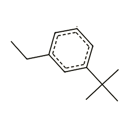 CCc1c[c]cc(C(C)(C)C)c1